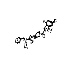 O=C(c1cc2c(F)cc(F)cc2[nH]1)N1CCc2nc(NCC3CCOC3)sc2C1